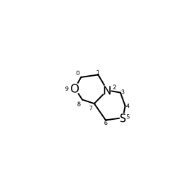 C1CN2CCSCC2CO1